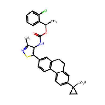 Cc1nsc(-c2ccc3c(c2)CCc2cc(C4(C(=O)O)CC4)ccc2-3)c1NC(=O)O[C@H](C)c1ccccc1Cl